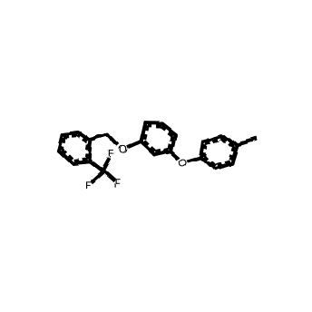 Cc1ccc(Oc2cccc(OCc3ccccc3C(F)(F)F)c2)cc1